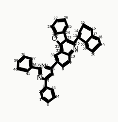 c1ccc(-c2cc(-c3ccc4nc(-c5cccc6ccccc56)c5c6ccccc6oc5c4c3)nc(-c3ccccc3)n2)cc1